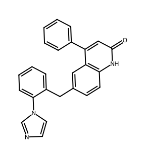 O=c1cc(-c2ccccc2)c2cc(Cc3ccccc3-n3ccnc3)ccc2[nH]1